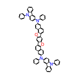 c1ccc(N(c2ccc3c(ccc4c5cc6oc7c8ccc(N(c9ccccc9)c9ccc%10c(c9)c9ccccc9n%10-c9ccccc9)cc8ccc7c6cc5oc34)c2)c2ccc3c(c2)c2ccccc2n3-c2ccccc2)cc1